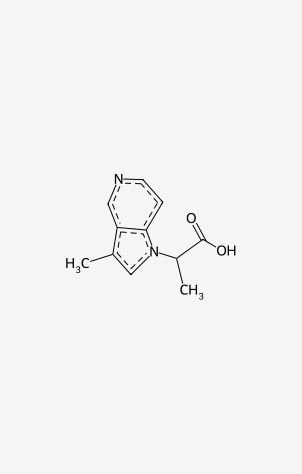 Cc1cn(C(C)C(=O)O)c2ccncc12